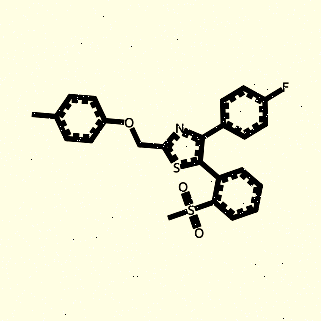 Cc1ccc(OCc2nc(-c3ccc(F)cc3)c(-c3ccccc3S(C)(=O)=O)s2)cc1